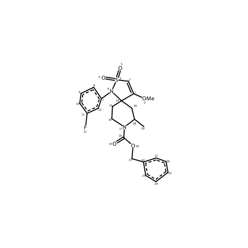 COC1=CS(=O)(=O)N(c2cccc(F)c2)C12CCN(C(=O)OCc1ccccc1)C(C)C2